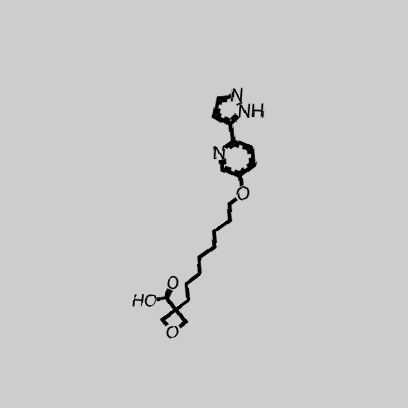 O=C(O)C1(CCCCCCCCOc2ccc(-c3ccn[nH]3)nc2)COC1